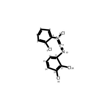 Clc1ccccc1[N+](Cl)=C=Nc1cccc(Cl)c1Cl